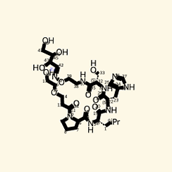 CC(C)C[C@H](NC(=O)C1CCCN1C(=O)CCOCCO)C(=O)N[C@@H](Cc1cnc[nH]1)C(=O)N[C@@H](CO)C(=O)NCCO/N=C/C(O)C(O)CO